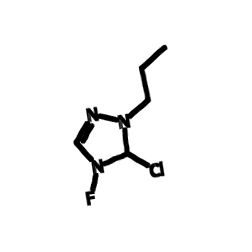 CCCN1N=CN(F)C1Cl